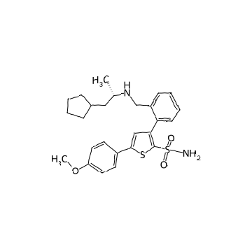 COc1ccc(-c2cc(-c3ccccc3CN[C@@H](C)CC3CCCC3)c(S(N)(=O)=O)s2)cc1